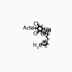 CC(=O)Nc1c(Cl)cc(NS(=O)(=O)CCCn2cc[n+](C)c2)c(O)c1Cl